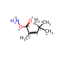 CC(=CC(C)(C)C)C(=O)ON